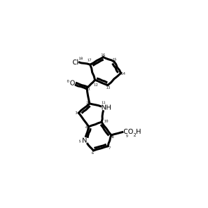 O=C(c1cc2nccc(C(=O)O)c2[nH]1)c1ccccc1Cl